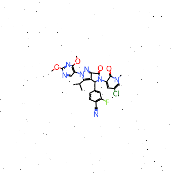 COc1ncc(-n2nc3c(c2C(C)C)C(c2ccc(C#N)c(F)c2)N(c2cc(Cl)cn(C)c2=O)C3=O)c(OC)n1